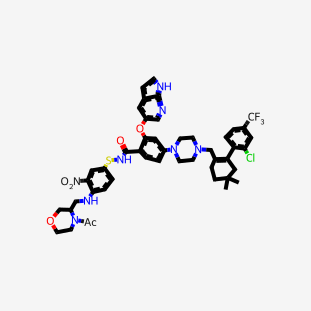 CC(=O)N1CCOCC1CNc1ccc(SNC(=O)c2ccc(N3CCN(CC4=C(c5ccc(C(F)(F)F)cc5Cl)CC(C)(C)CC4)CC3)cc2Oc2cnc3[nH]ccc3c2)cc1[N+](=O)[O-]